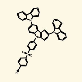 N#Cc1ccc(S(=O)(=O)c2ccc(-n3c4ccc(-n5c6ccccc6c6ccccc65)cc4c4cc(-n5c6ccccc6c6ccccc65)ccc43)cc2)cc1